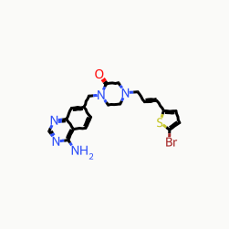 Nc1ncnc2cc(CN3CCN(CC=Cc4ccc(Br)s4)CC3=O)ccc12